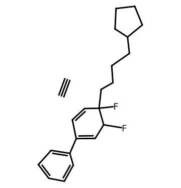 C#C.FC1C=C(c2ccccc2)C=CC1(F)CCCCC1CCCC1